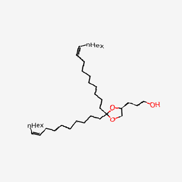 CCCCCC/C=C\CCCCCCCCC1(CCCCCCCC/C=C\CCCCCC)OC[C@H](CCCO)O1